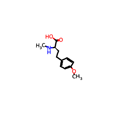 CN[C@H](CCc1ccc(OC)cc1)C(=O)O